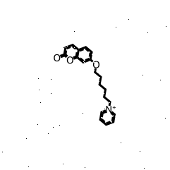 O=c1ccc2ccc(OCCCCCC[n+]3ccccc3)cc2o1